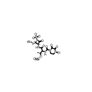 CCN1CCN(C(=O)NC(C(=O)N[C@@H]2C(=O)N(S(=O)(=O)[O-])[C@@H]2SC(C)(C)C)[C@H](C)OC=O)C(=O)C1=O.[Na+]